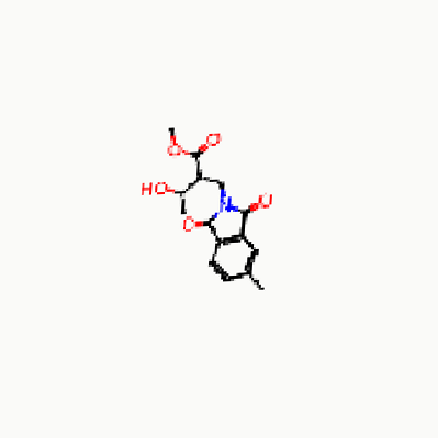 COC(=O)[C@@H](CN1C(=O)c2ccc(C)cc2C1=O)[C@@H](C)O